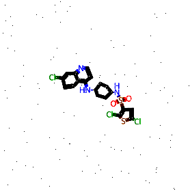 O=S(=O)(N[C@H]1CC[C@@H](Nc2ccnc3cc(Cl)ccc23)CC1)c1cc(Cl)sc1Cl